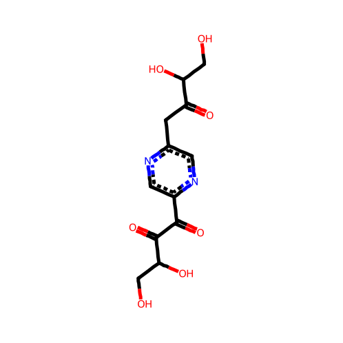 O=C(C(=O)C(O)CO)c1cnc(CC(=O)C(O)CO)cn1